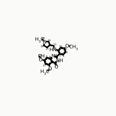 COc1ccc(-c2nc3cc(OC)cc(OC)c3c(=O)[nH]2)c(NCC2CCN(C)C2)c1